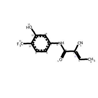 C/C=C(\C#N)C(=O)Nc1ccc(C(F)(F)F)c(O)c1